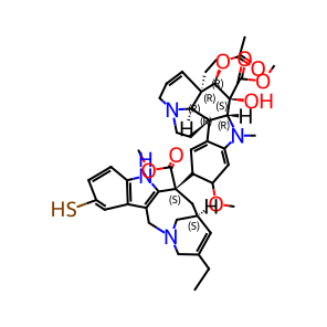 CCC1=C[C@H]2CN(C1)Cc1c([nH]c3ccc(S)cc13)[C@@](C(=O)OC)(C1C=C3C(=CC1OC)N(C)[C@H]1[C@@](O)(C(=O)OC)[C@H](OC(C)=O)[C@]4(CC)C=CCN5CC[C@]31[C@@H]54)C2